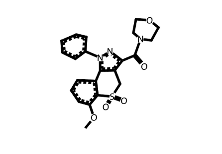 COc1cccc2c1S(=O)(=O)Cc1c(C(=O)N3CCOCC3)nn(-c3ccccc3)c1-2